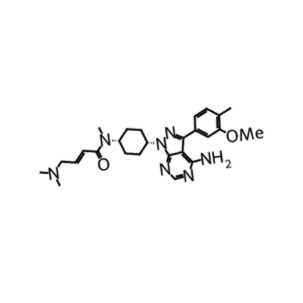 COc1cc(-c2nn([C@H]3CC[C@@H](N(C)C(=O)/C=C/CN(C)C)CC3)c3ncnc(N)c23)ccc1C